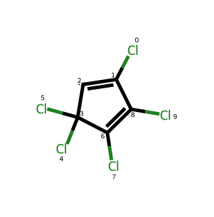 ClC1=[C]C(Cl)(Cl)C(Cl)=C1Cl